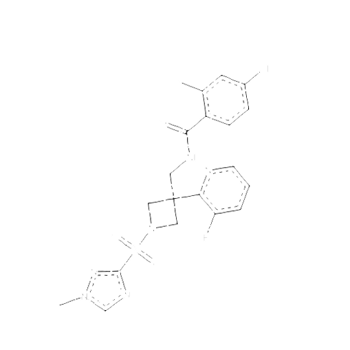 Cc1cc(Cl)ccc1C(=O)NCC1(c2ncccc2F)CN(S(=O)(=O)c2ncn(C)n2)C1